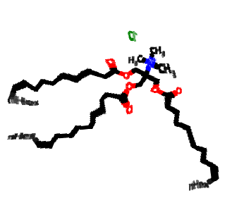 CCCCCC/C=C\CCCCCCCC(=O)OCC(COC(=O)CCCCCCC/C=C\CCCCCC)(COC(=O)CCCCCCC/C=C\CCCCCC)[N+](C)(C)C.[Cl-]